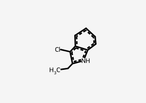 CCc1[nH]c2ccccc2c1Cl